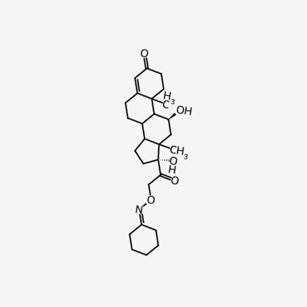 CC12CCC(=O)C=C1CCC1C2[C@@H](O)CC2(C)C1CC[C@]2(O)C(=O)CON=C1CCCCC1